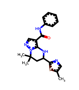 Cc1cnc(C2CC(C)(C)n3ncc(C(=O)Nc4ccccc4)c3N2)s1